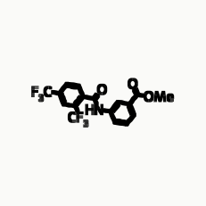 COC(=O)c1cccc(NC(=O)c2ccc(C(F)(F)F)cc2C(F)(F)F)c1